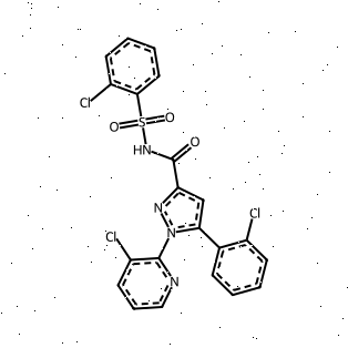 O=C(NS(=O)(=O)c1ccccc1Cl)c1cc(-c2ccccc2Cl)n(-c2ncccc2Cl)n1